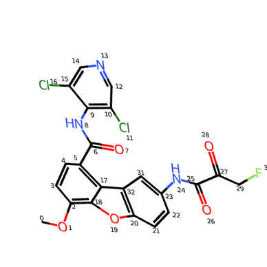 COc1ccc(C(=O)Nc2c(Cl)cncc2Cl)c2c1oc1ccc(NC(=O)C(=O)CF)cc12